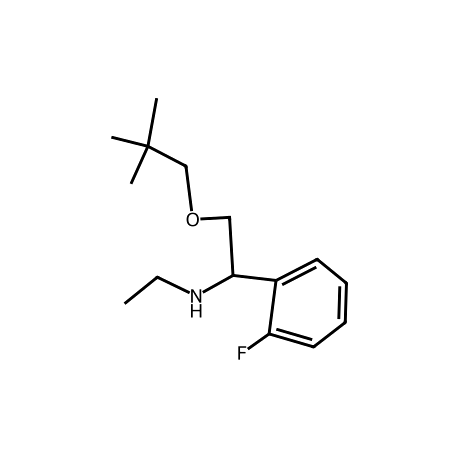 CCNC(COCC(C)(C)C)c1ccccc1F